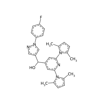 Cc1ccc(C)n1-c1cc(C(O)c2cnn(-c3ccc(F)cc3)c2)cc(-n2c(C)ccc2C)n1